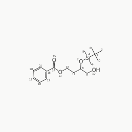 CC(C)(C)[Si](C)(C)OC(CO)CCOC(=O)c1ccccc1